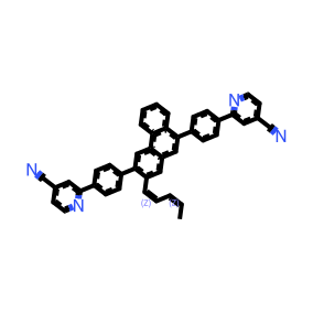 C/C=C\C=C/c1cc2cc(-c3ccc(-c4cc(C#N)ccn4)cc3)c3ccccc3c2cc1-c1ccc(-c2cc(C#N)ccn2)cc1